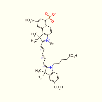 CC[N+]1=C(/C=C/C=C/C=C2\N(CCCCS(=O)(=O)O)c3ccc(C(=O)O)cc3C2(C)C)C(C)(C)c2c1ccc1c(S(=O)(=O)[O-])cc(S(=O)(=O)O)cc21